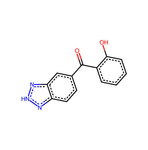 O=C(c1ccc2n[nH]nc2c1)c1ccccc1O